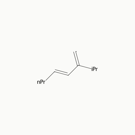 [CH]=C(C=CCCC)C(C)C